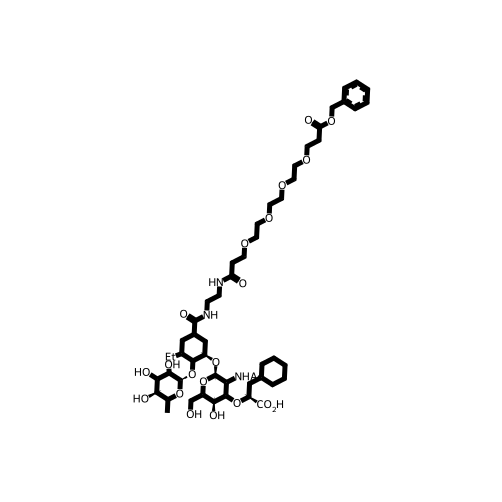 CCC1CC(C(=O)NCCNC(=O)CCOCCOCCOCCOCCC(=O)OCc2ccccc2)C[C@@H](O[C@@H]2OC(CO)[C@H](O)C(O[C@@H](CC3CCCCC3)C(=O)O)C2NC(C)=O)C1O[C@@H]1OC(C)[C@@H](O)C(O)C1O